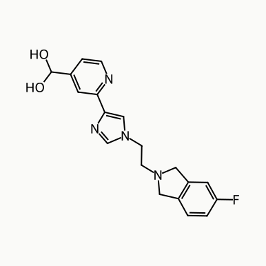 OC(O)c1ccnc(-c2cn(CCN3Cc4ccc(F)cc4C3)cn2)c1